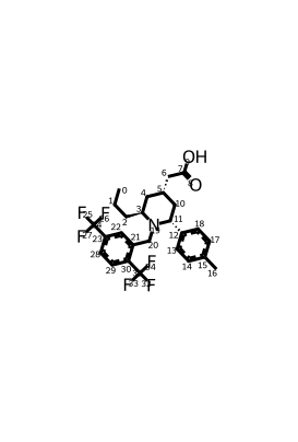 CCC[C@H]1C[C@H](CC(=O)O)C[C@H](c2ccc(C)cc2)N1Cc1cc(C(F)(F)F)ccc1C(F)(F)F